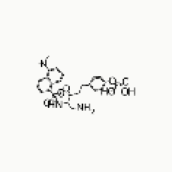 CN(C)c1cccc2c(S(=O)(=O)NC(CN)C(=O)CCc3ccc(OP(=O)(O)O)cc3)cccc12